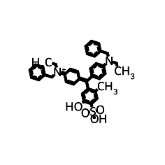 CCN(Cc1ccccc1)c1ccc(C(=C2C=CC(=[N+](CC)Cc3ccccc3)C=C2)c2cc(O)c(S(=O)(=O)O)cc2C)cc1